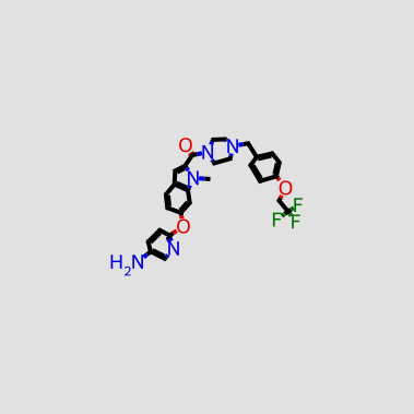 Cn1c(C(=O)N2CCN(Cc3ccc(OCC(F)(F)F)cc3)CC2)cc2ccc(Oc3ccc(N)cn3)cc21